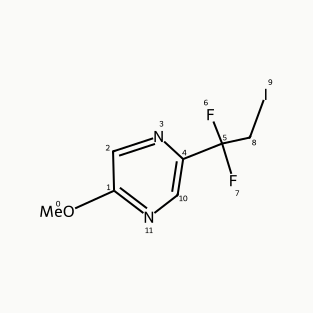 COc1cnc(C(F)(F)CI)cn1